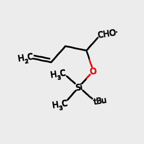 C=CCC([C]=O)O[Si](C)(C)C(C)(C)C